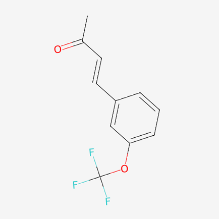 CC(=O)C=Cc1cccc(OC(F)(F)F)c1